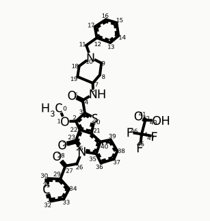 COc1c(C(=O)NC2CCN(Cc3ccccc3)CC2)sc2c1c(=O)n(CC(=O)c1ccccc1)c1ccccc21.O=C(O)C(F)(F)F